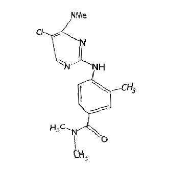 CNc1nc(Nc2ccc(C(=O)N(C)C)cc2C)ncc1Cl